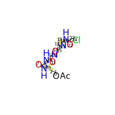 CC(=O)OCCS[C@H]1NC(=O)[C@H]1NC(=O)C=NOCc1csc(NC(=O)CCl)n1